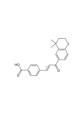 CC1(C)CCSc2ccc(C(=O)/C=C/c3ccc(C(=O)O)cc3)cc21